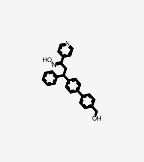 OCc1ccc(-c2ccc(C(CC(=NO)c3ccncc3)c3ccccc3)cc2)cc1